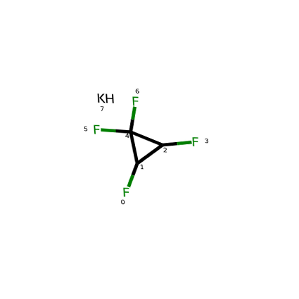 FC1C(F)C1(F)F.[KH]